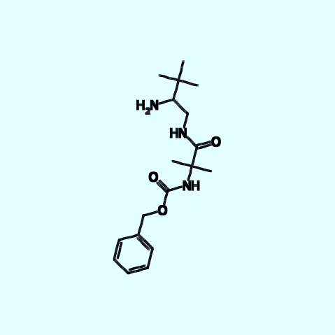 CC(C)(NC(=O)OCc1ccccc1)C(=O)NCC(N)C(C)(C)C